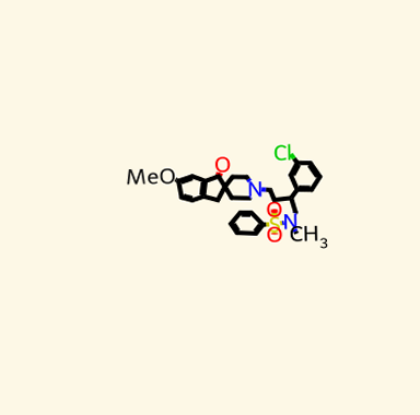 COc1ccc2c(c1)C(=O)C1(CCN(CCC(CN(C)S(=O)(=O)c3ccccc3)c3cccc(Cl)c3)CC1)C2